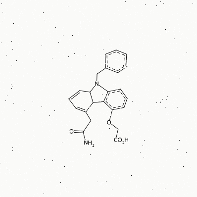 NC(=O)CC1=CC=CC2C1c1c(OCC(=O)O)cccc1N2Cc1ccccc1